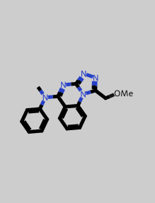 COCc1nnc2nc(N(C)c3ccccc3)c3ccccc3n12